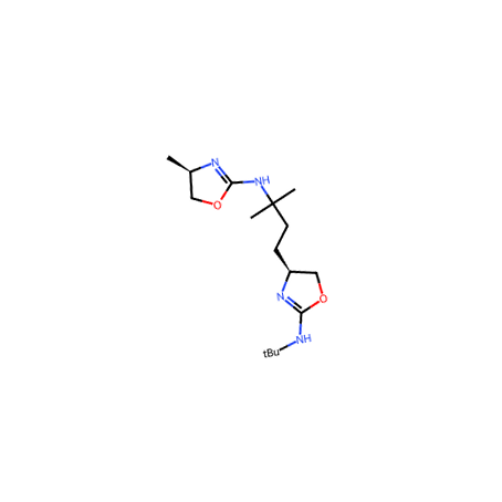 C[C@@H]1COC(NC(C)(C)CC[C@H]2COC(NC(C)(C)C)=N2)=N1